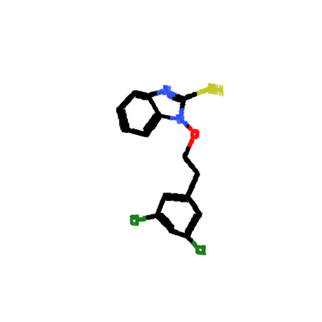 Sc1nc2ccccc2n1OCCc1cc(Cl)cc(Cl)c1